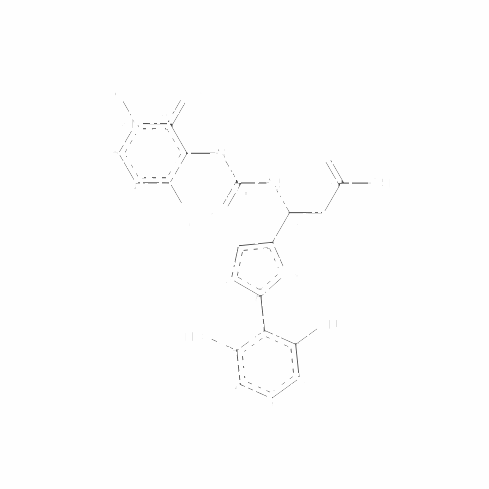 Cc1cccc(C)c1-c1ccc(C(CC(=O)O)NC(=O)Nc2c(O)ccn(C)c2=O)s1